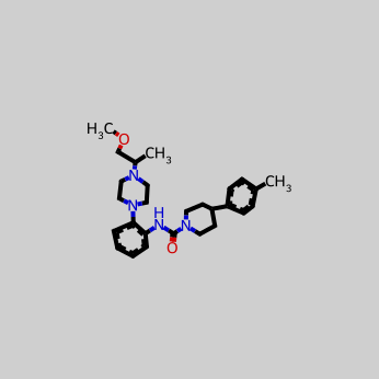 COCC(C)N1CCN(c2ccccc2NC(=O)N2CCC(c3ccc(C)cc3)CC2)CC1